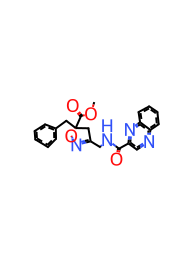 COC(=O)C1(Cc2ccccc2)CC(CNC(=O)c2cnc3ccccc3n2)=NO1